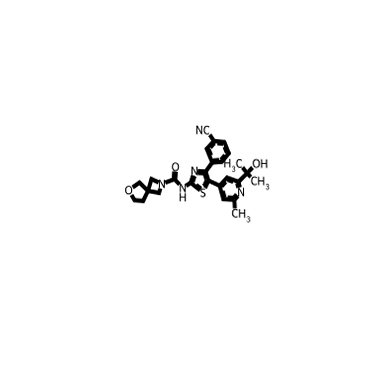 Cc1cc(-c2sc(NC(=O)N3CC4(CCOC4)C3)nc2-c2cccc(C#N)c2)cc(C(C)(C)O)n1